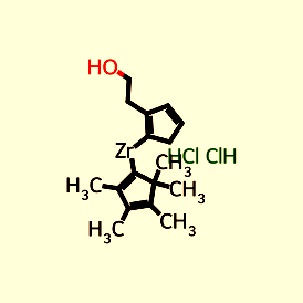 CC1=C(C)C(C)(C)[C]([Zr][C]2=C(CCO)C=CC2)=C1C.Cl.Cl